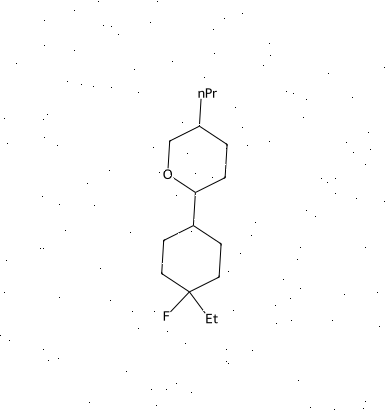 CCCC1CCC(C2CCC(F)(CC)CC2)OC1